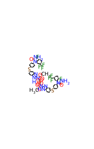 COC(=O)N(OS(=O)(=O)ON(C(=O)OC)c1nc2cc(Sc3ccc(N(C(N)=O)c4cc(C(F)(F)F)ccc4F)cc3)ccc2[nH]1)c1nc2cc(Sc3ccc(N(C(N)=O)c4cc(C(F)(F)F)ccc4F)cc3)ccc2[nH]1